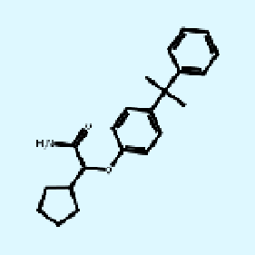 CC(C)(c1ccccc1)c1ccc(OC(C(N)=O)C2CCCC2)cc1